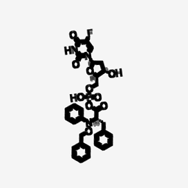 O=C(OP(=O)(O)OC[C@H]1O[C@@H](n2cc(F)c(=O)[nH]c2=O)C[C@@H]1O)[C@H](Cc1ccccc1)N(OCc1ccccc1)c1ccccc1